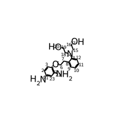 Nc1ccc(OCCc2ccccc2N(CCO)CCO)c(N)c1